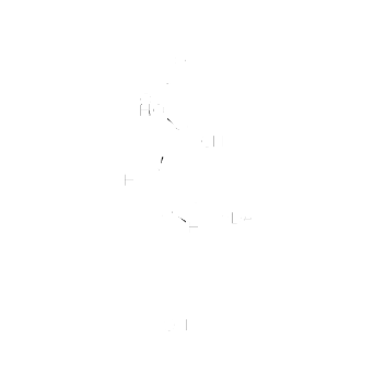 CCCCCCCCCC[C@H]1C[C@@]2(C)[C@@H](CC3OC(=O)C[C@@]32O)[C@@H]2CCc3cc(O)ccc3[C@@H]12